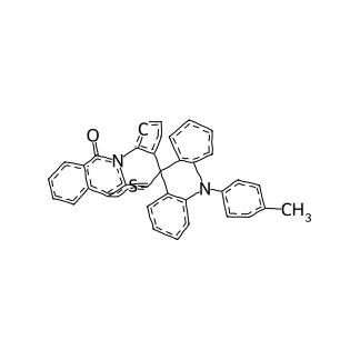 Cc1ccc(N2c3ccccc3C3(c4ccccc42)c2ccccc2-n2c(=O)c4ccccc4c4csc3c42)cc1